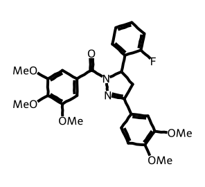 COc1ccc(C2=NN(C(=O)c3cc(OC)c(OC)c(OC)c3)C(c3ccccc3F)C2)cc1OC